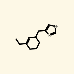 CCC1=CC(Cc2c[nH]cn2)CCC1